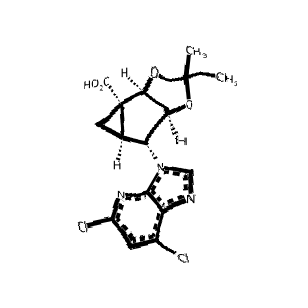 CC1(C)O[C@H]2[C@H](n3cnc4c(Cl)cc(Cl)nc43)[C@H]3C[C@@]3(C(=O)O)[C@H]2O1